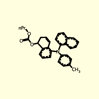 CCCOC(=O)OC1CC=Cc2c1cccc2N(c1ccc(C)cc1)c1cccc2ccccc12